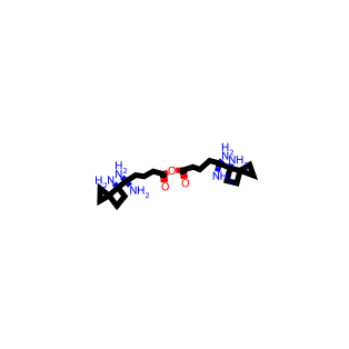 NC(N)(CCCC(=O)OC(=O)CCCC(N)(N)C1(N)CCC12CC2)C1(N)CCC12CC2